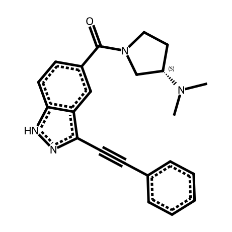 CN(C)[C@H]1CCN(C(=O)c2ccc3[nH]nc(C#Cc4ccccc4)c3c2)C1